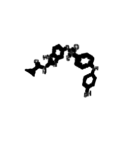 O=C(Nc1nc2cc(OS(=O)(=O)c3ccc(NC4CCC(O)CC4)cc3)ccc2[nH]1)C1CC1